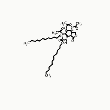 CCCCCCCCCCCCOP(=O)(N[C@@H]1C(OC(C)=O)[C@@H](OC(C)=O)[C@@H](OC(C)=O)C2COC(=O)N21)OCCCCCCCCCCCC